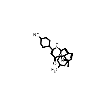 CC1=N/N2C(=O)C=C(C3CCC(C#N)CC3)NC2/C=C(C2CCC(C(F)(F)F)CC2)/C=C\1